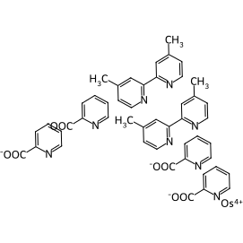 Cc1ccnc(-c2cc(C)ccn2)c1.Cc1ccnc(-c2cc(C)ccn2)c1.O=C([O-])c1ccccn1.O=C([O-])c1ccccn1.O=C([O-])c1ccccn1.O=C([O-])c1ccccn1.[Os+4]